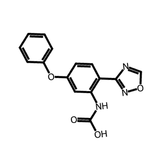 O=C(O)Nc1cc(Oc2ccccc2)ccc1-c1ncon1